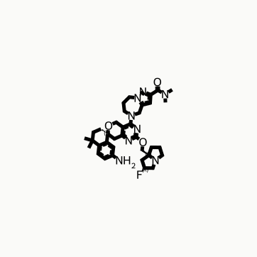 CN(C)C(=O)c1cc2n(n1)CCCN(c1nc(OC[C@@]34CCCN3C[C@H](F)C4)nc3c1CO[C@@]1(CCC(C)(C)c4ccc(N)cc41)C3)C2